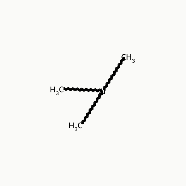 CCCCCCCCC=CCCCCCCC[CH2][Al]([CH2]CCCCCCCC=CCCCCCCCC)[CH2]CCCCCCCC=CCCCCCCCC